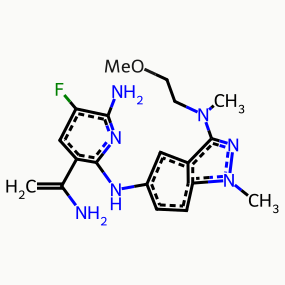 C=C(N)c1cc(F)c(N)nc1Nc1ccc2c(c1)c(N(C)CCOC)nn2C